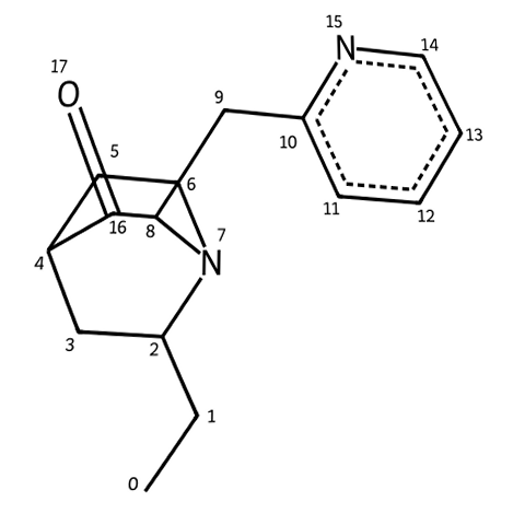 CCC1CC2CCN1C(Cc1ccccn1)C2=O